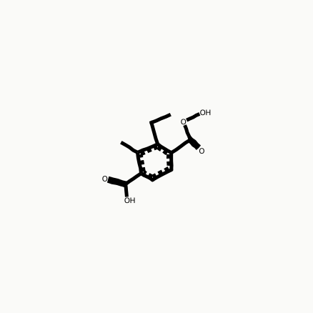 CCc1c(C(=O)OO)ccc(C(=O)O)c1C